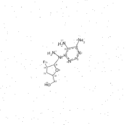 Nc1ncnc(N(N)C2OC(CO)CC2F)c1N